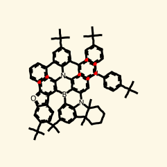 CC(C)(C)c1ccc(N(c2ccc(C(C)(C)C)cc2)c2cc3c4c(c2)N2c5c(cc(C(C)(C)C)cc5C5(C)CCCCC25C)B4c2c(ccc4oc5cc(C(C)(C)C)ccc5c24)N3c2c(-c3ccccc3)cc(C(C)(C)C)cc2-c2ccccc2)cc1